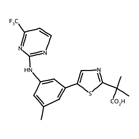 Cc1cc(Nc2nccc(C(F)(F)F)n2)cc(-c2cnc(C(C)(C)C(=O)O)s2)c1